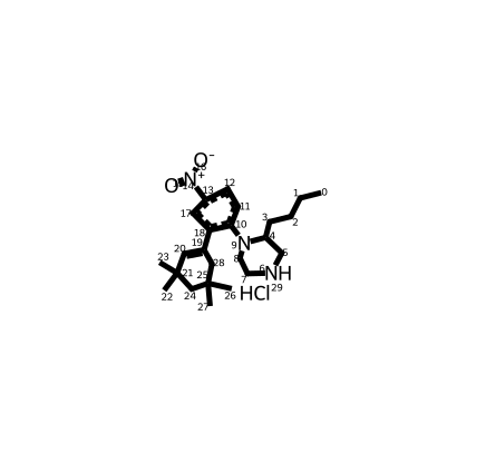 CCCCC1CNCCN1c1ccc([N+](=O)[O-])cc1C1=CC(C)(C)CC(C)(C)C1.Cl